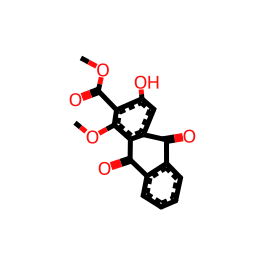 COC(=O)c1c(O)cc2c(c1OC)C(=O)c1ccccc1C2=O